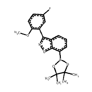 COc1ccc(F)cc1-c1noc2c(B3OC(C)(C)C(C)(C)O3)cccc12